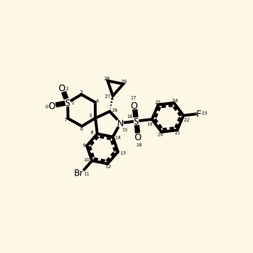 O=S1(=O)CCC2(CC1)c1cc(Br)ccc1N(S(=O)(=O)c1ccc(F)cc1)[C@H]2C1CC1